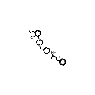 O=C(NCc1ccccc1)N[C@H]1CC[C@@H](CN2CCN(c3cccc(Cl)c3Cl)CC2)CC1